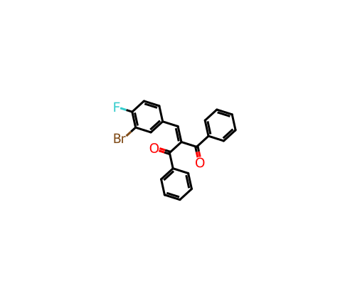 O=C(C(=Cc1ccc(F)c(Br)c1)C(=O)c1ccccc1)c1ccccc1